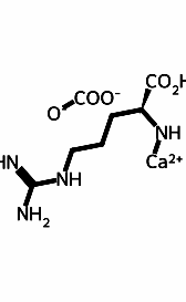 N=C(N)NCCC[C@H]([NH][Ca+2])C(=O)O.O=C([O-])[O-]